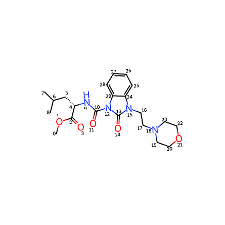 COC(=O)[C@H](CC(C)C)NC(=O)n1c(=O)n(CCN2CCOCC2)c2ccccc21